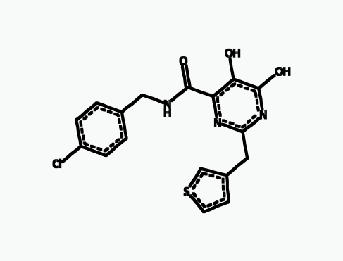 O=C(NCc1ccc(Cl)cc1)c1nc(Cc2ccsc2)nc(O)c1O